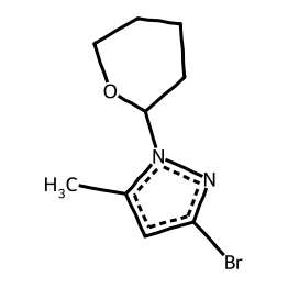 Cc1cc(Br)nn1C1CCCCO1